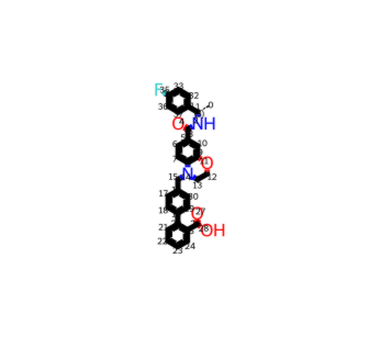 C[C@H](NC(=O)c1ccc2c(c1)OCCN2Cc1ccc(-c2ccccc2C(=O)O)cc1)c1ccc(F)cc1